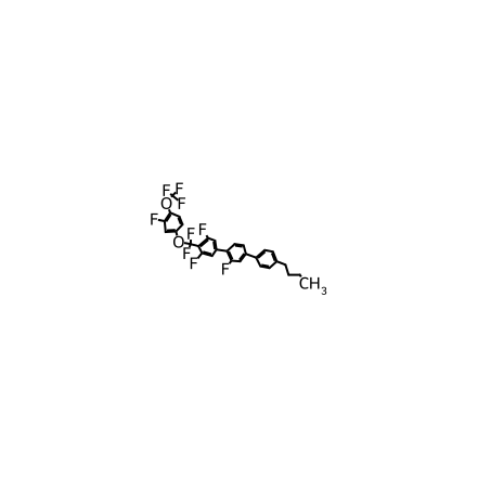 CCCCc1ccc(-c2ccc(-c3cc(F)c(C(F)(F)Oc4ccc(OC(F)(F)F)c(F)c4)c(F)c3)c(F)c2)cc1